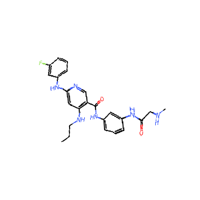 CCCNc1cc(Nc2cccc(F)c2)ncc1C(=O)Nc1cccc(NC(=O)CNC)c1